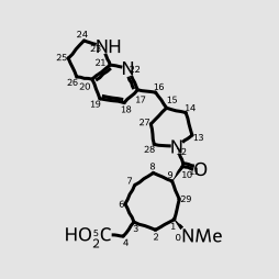 CN[C@H]1CC(CC(=O)O)CCC[C@@H](C(=O)N2CCC(Cc3ccc4c(n3)NCCC4)CC2)C1